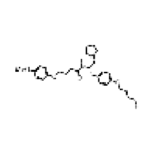 COc1ccc(OCCCC(=O)N[C@@H](Cc2ccc(OCCCCF)cc2)CN2CCCC2)cc1